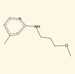 COCCCNc1cc(C)ccn1